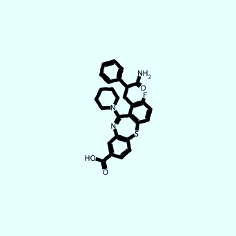 NC(=O)C(Cc1c(F)ccc2c1C(N1CCCCC1)=Nc1cc(C(=O)O)ccc1S2)c1ccccc1